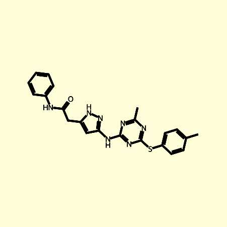 Cc1ccc(Sc2nc(C)nc(Nc3cc(CC(=O)Nc4ccccc4)[nH]n3)n2)cc1